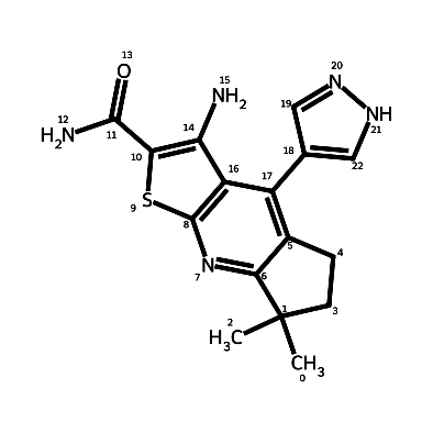 CC1(C)CCc2c1nc1sc(C(N)=O)c(N)c1c2-c1cn[nH]c1